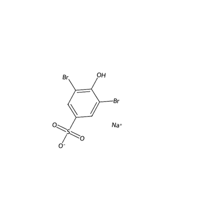 O=S(=O)([O-])c1cc(Br)c(O)c(Br)c1.[Na+]